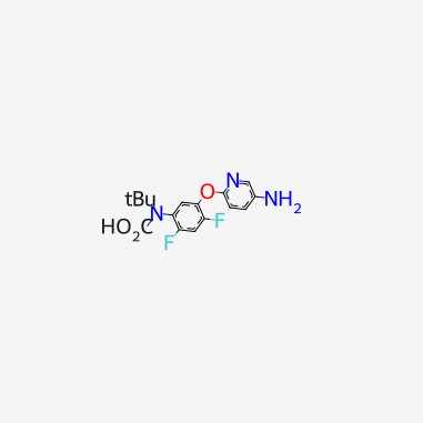 CC(C)(C)N(C(=O)O)c1cc(Oc2ccc(N)cn2)c(F)cc1F